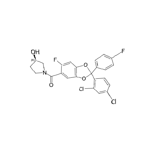 O=C(c1cc2c(cc1F)OC(c1ccc(F)cc1)(c1ccc(Cl)cc1Cl)O2)N1CC[C@@H](O)C1